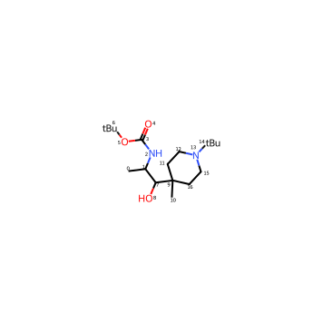 CC(NC(=O)OC(C)(C)C)C(O)C1(C)CCN(C(C)(C)C)CC1